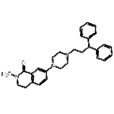 CN1CCc2ccc(N3CCN(CCC(c4ccccc4)c4ccccc4)CC3)cc2C1=O